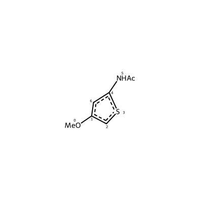 COc1csc(NC(C)=O)c1